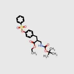 CCOC(=O)C(CNC(=O)OC(C)(C)C)Cc1ccc(OS(=O)(=O)c2ccccc2)cc1